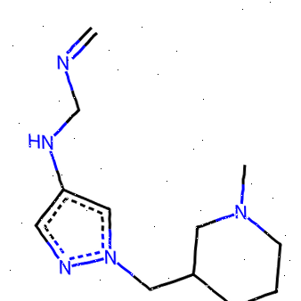 C=NCNc1cnn(CC2CCCN(C)C2)c1